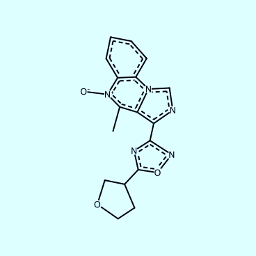 Cc1c2c(-c3noc(C4CCOC4)n3)ncn2c2ccccc2[n+]1[O-]